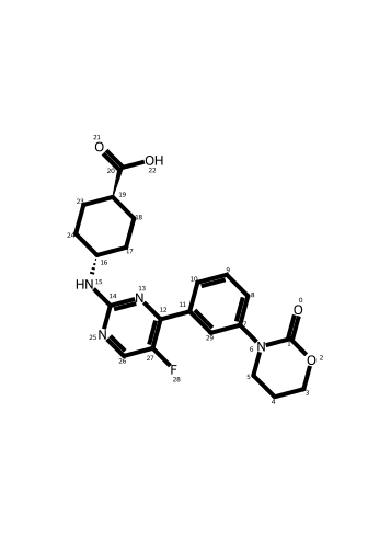 O=C1OCCCN1c1cccc(-c2nc(N[C@H]3CC[C@H](C(=O)O)CC3)ncc2F)c1